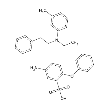 CCN(CCc1ccccc1)c1cccc(C)c1.Nc1ccc(Oc2ccccc2)c(S(=O)(=O)O)c1